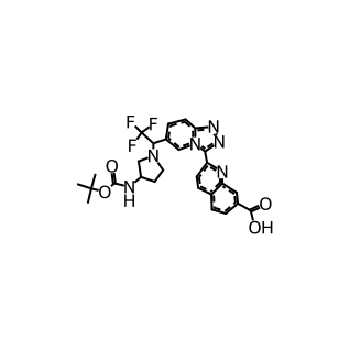 CC(C)(C)OC(=O)NC1CCN(C(c2ccc3nnc(-c4ccc5ccc(C(=O)O)cc5n4)n3c2)C(F)(F)F)C1